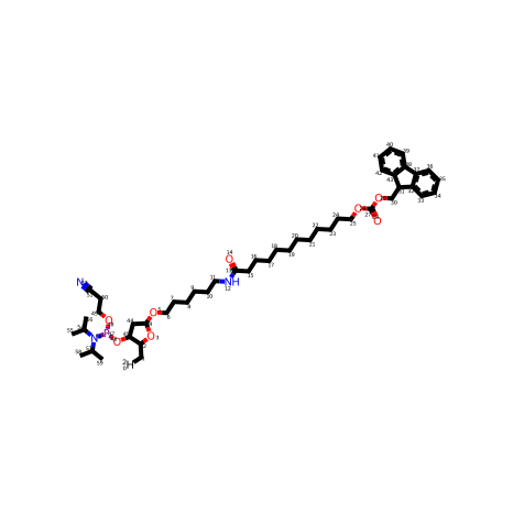 [2H]CC1OC(OCCCCCCNC(=O)CCCCCCCCCCCOC(=O)OCC2c3ccccc3-c3ccccc32)CC1OP(OCCC#N)N(C(C)C)C(C)C